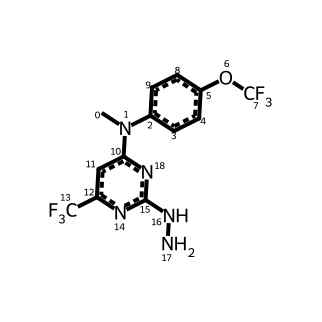 CN(c1ccc(OC(F)(F)F)cc1)c1cc(C(F)(F)F)nc(NN)n1